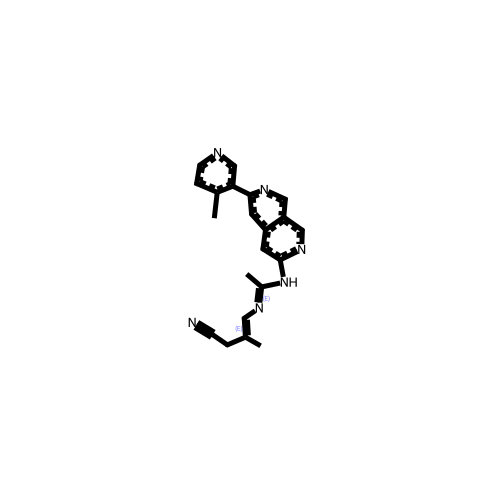 C/C(=C\N=C(/C)Nc1cc2cc(-c3cnccc3C)ncc2cn1)CC#N